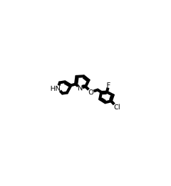 Fc1cc(Cl)ccc1COc1cccc(C2=CCNCC2)n1